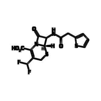 O=C(Cc1cccs1)NC1C(=O)N2C(C(=O)O)=C(C(F)F)CS[C@@H]12